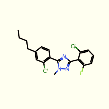 CCCCc1ccc(-c2nc(-c3c(F)cccc3Cl)nn2C)c(Cl)c1